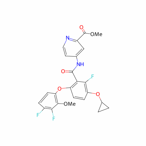 COC(=O)c1cc(NC(=O)c2c(Oc3ccc(F)c(F)c3OC)ccc(OC3CC3)c2F)ccn1